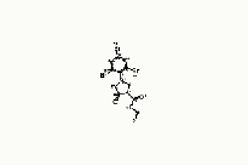 CCOC(=O)C1CN(c2c(Br)cc(Br)cc2Br)CC1=O